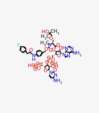 CN(C(=O)OCc1ccc(NC(=O)Cc2ccc(F)cc2)cc1)[C@@H](COCC(C)(C)O)C(=O)O[C@H]1[C@@H](O)[C@H](n2cnc3c(N)ncnc32)O[C@@H]1COP(=O)(O)O[C@H]1[C@@H](O)[C@H](n2ccc(N)nc2=O)O[C@@H]1COP(=O)(O)O